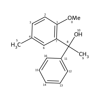 COc1ccc(C)cc1C(C)(O)c1ccccc1